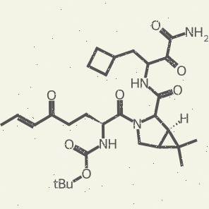 C/C=C/C(=O)CC[C@H](NC(=O)OC(C)(C)C)C(=O)N1CC2[C@@H](C1C(=O)NC(CC1CCC1)C(=O)C(N)=O)C2(C)C